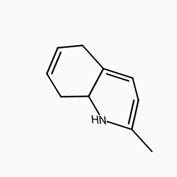 CC1=CC=C2CC=CCC2N1